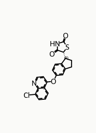 O=C1NC(=O)C([C@@H]2CCc3cc(Oc4ccnc5c(Cl)cccc45)ccc32)S1